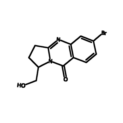 O=c1c2ccc(Br)cc2nc2n1C(CO)CC2